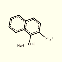 O=Cc1c(S(=O)(=O)O)ccc2ccccc12.[NaH]